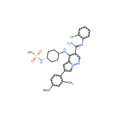 CCCS(=O)(=O)N[C@H]1CC[C@H](Nc2c(/C(N)=N/c3ccccc3Cl)cnn3cc(-c4ccc(OC)cc4C)cc23)CC1